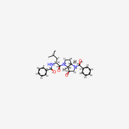 CC(C)C[C@H](NC(=O)c1ccccc1)C(=O)N1CC[C@@H]2[C@H]1C(=O)CN2C(=O)c1ccccc1